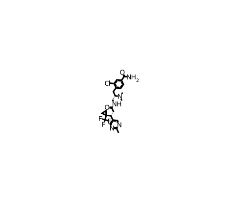 Cc1ncc([C@@H](CC(=O)NC[C@H](Cc2ccc(C(N)=O)cc2Cl)N(C)C)C2(C(F)(F)F)CC2)cn1